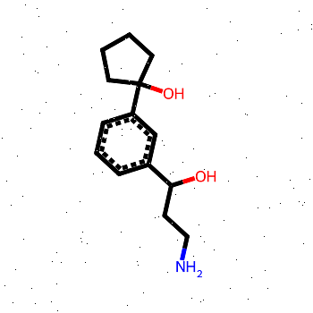 NCCC(O)c1cccc(C2(O)CCCC2)c1